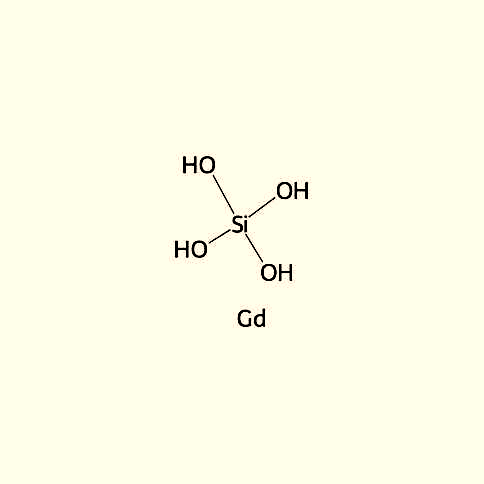 O[Si](O)(O)O.[Gd]